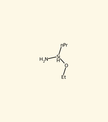 CCC[SiH](N)OCC